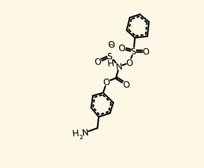 NCc1ccc(OC(=O)N(OS(=O)(=O)c2ccccc2)[SH](=O)=O)cc1